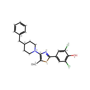 O=Cc1sc(-c2cc(Cl)c(O)c(Cl)c2)nc1N1CCC(Cc2ccccc2)CC1